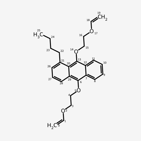 C=COCCOc1c2ccccc2c(OCCOC=C)c2c(CCCC)cccc12